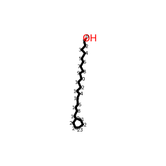 OCCCCCCCCCCCCCCCCCCCC1CCCCC1